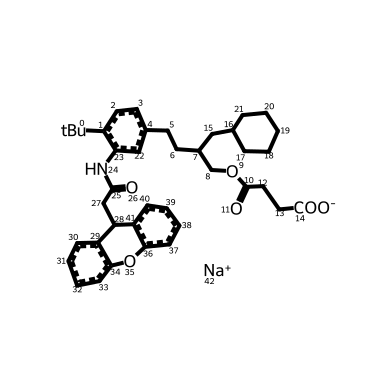 CC(C)(C)c1ccc(CCC(COC(=O)CCC(=O)[O-])CC2CCCCC2)cc1NC(=O)CC1c2ccccc2Oc2ccccc21.[Na+]